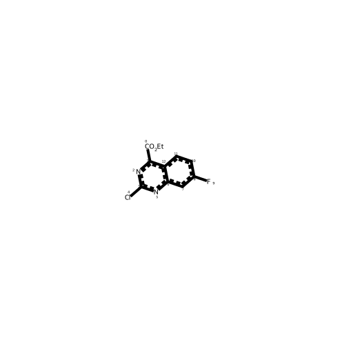 CCOC(=O)c1nc(Cl)nc2cc(F)ccc12